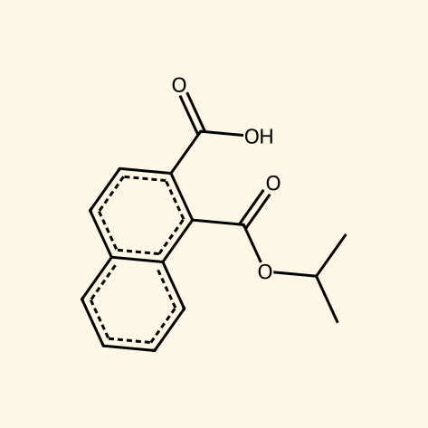 CC(C)OC(=O)c1c(C(=O)O)ccc2ccccc12